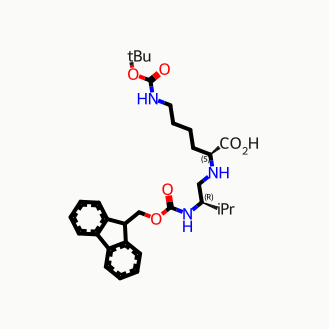 CC(C)[C@H](CN[C@@H](CCCCNC(=O)OC(C)(C)C)C(=O)O)NC(=O)OCC1c2ccccc2-c2ccccc21